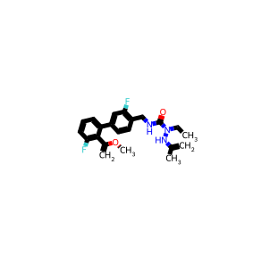 C=C(C)NN(CC)C(=O)NCc1ccc(-c2cccc(F)c2C(=C)OC)cc1F